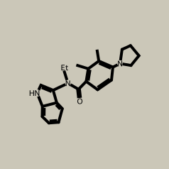 CCN(C(=O)c1ccc(N2CCCC2)c(C)c1C)c1c[nH]c2ccccc12